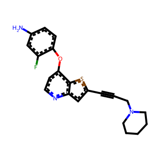 Nc1ccc(Oc2ccnc3cc(C#CCN4CCCCC4)sc23)c(F)c1